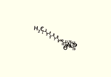 C=CCCCCCCCCCCCC(=O)N1CCOCC1